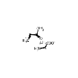 C=CC(N)=O.NCC(=O)[O-].[Li+]